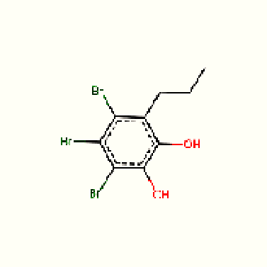 CCCc1c(O)c(O)c(Br)c(Br)c1Br